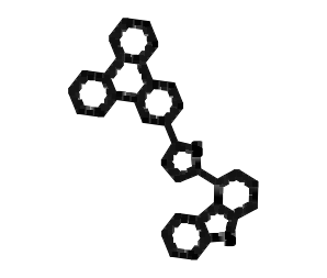 c1ccc2c(c1)sc1cccc(-c3ccc(-c4ccc5c6ccccc6c6ccccc6c5c4)s3)c12